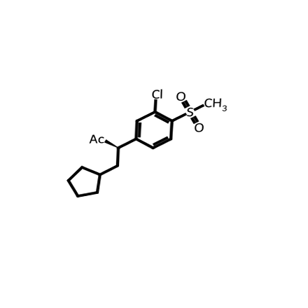 CC(=O)[C@H](CC1CCCC1)c1ccc(S(C)(=O)=O)c(Cl)c1